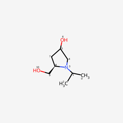 CC(C)N1CC(O)C[C@@H]1CO